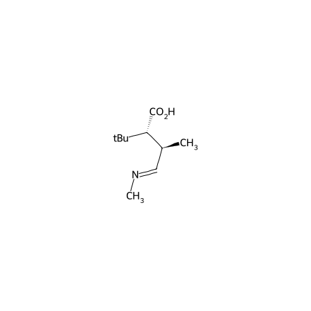 C/N=C/[C@H](C)[C@@H](C(=O)O)C(C)(C)C